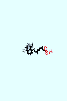 [2H]C([2H])([2H])C1=C(C=CC(C)=CC=CC(C)=CC(=O)O)C(C)(C)CCC1([2H])[2H]